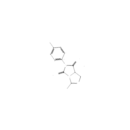 CC1OC[C@@H]2C(=O)N(c3ccc(Cl)cc3)C(=O)N12